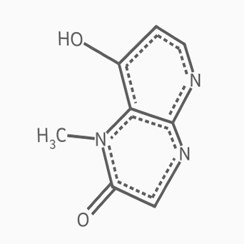 Cn1c(=O)cnc2nccc(O)c21